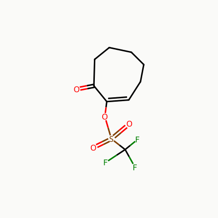 O=C1CCCCC/C=C\1OS(=O)(=O)C(F)(F)F